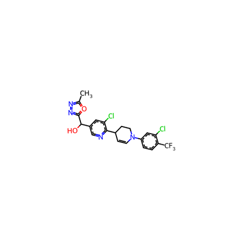 Cc1nnc(C(O)c2cnc(C3C=CN(c4ccc(C(F)(F)F)c(Cl)c4)CC3)c(Cl)c2)o1